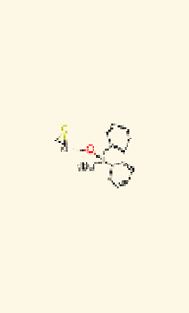 CC(C)(C)[Si](OC[C@@H]1CS1)(c1ccccc1)c1ccccc1